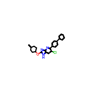 C=C1CCC(Oc2nc3nc(-c4ccc(-c5ccccc5)cc4)c(Cl)cc3[nH]2)CC1